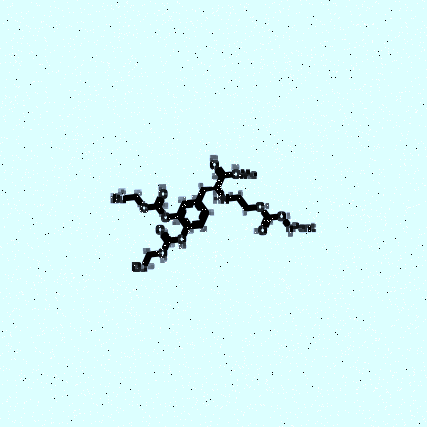 CCCCCOC(=O)OCCN[C@@H](Cc1ccc(OC(=O)OCC(C)CC)c(OC(=O)OCC(C)CC)c1)C(=O)OC